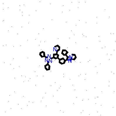 c1ccc(-c2nc(-c3ccccc3)nc(-c3cc(-c4cccc(-c5nc6ccccn6c5-c5ccccc5)c4)cc(-c4ccccn4)c3)n2)cc1